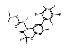 CC(C)OC(=O)[C@H](C)N1C(=O)C(F)(F)Oc2cc(F)c(-c3c(F)c(F)c(F)c(F)c3F)cc21